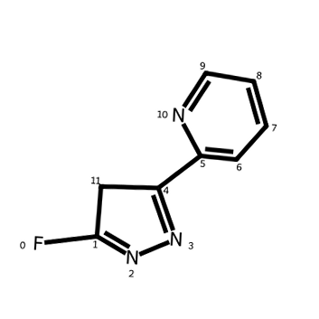 FC1=NN=C(c2ccccn2)C1